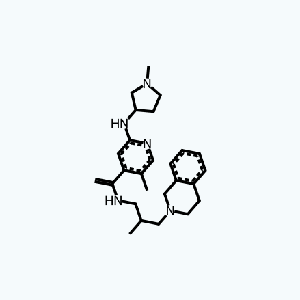 C=C(NCC(C)CN1CCc2ccccc2C1)c1cc(NC2CCN(C)C2)ncc1C